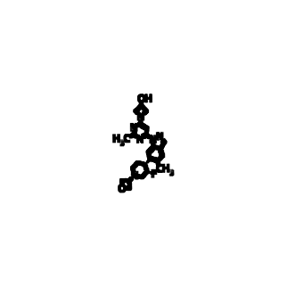 Cc1nc(N2CC(O)C2)cc(-n2ncc3cc(C)c([C@H]4CCN(C5COC5)C[C@H]4F)cc32)n1